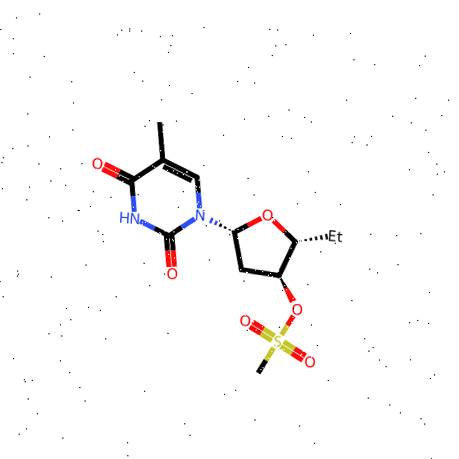 CC[C@H]1O[C@@H](n2cc(C)c(=O)[nH]c2=O)C[C@@H]1OS(C)(=O)=O